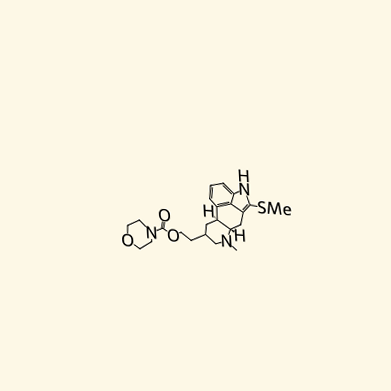 CSc1[nH]c2cccc3c2c1C[C@H]1[C@H]3CC(CCOC(=O)N2CCOCC2)CN1C